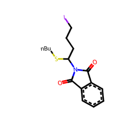 CCCCSC(CCCI)N1C(=O)c2ccccc2C1=O